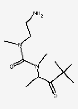 CC(C(=O)C(C)(C)C)N(C)C(=O)N(C)CCN